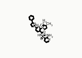 CC1CCN(c2nc(-n3ccc(-c4ccccc4)n3)ccc2C(=O)NS(=O)(=O)c2cccnc2N)C1(C)C